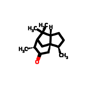 C[C@@H]1CC[C@H]2C(C)(C)C3C[C@@]12CC(=O)[C@@H]3C